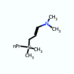 CCC[Si](C)(C)CC=CN(C)C